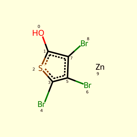 Oc1sc(Br)c(Br)c1Br.[Zn]